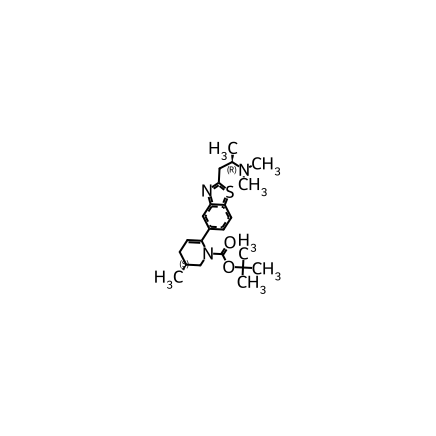 C[C@H]1CC=C(c2ccc3sc(C[C@@H](C)N(C)C)nc3c2)N(C(=O)OC(C)(C)C)C1